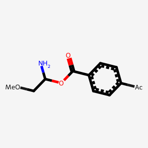 COCC(N)OC(=O)c1ccc(C(C)=O)cc1